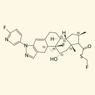 C[C@@H]1C[C@H]2[C@@H]3CCC4=Cc5c(cnn5-c5ccc(F)nc5)C[C@]4(C)[C@@]3(F)[C@@H](O)C[C@@]2(C)[C]1C(=O)SCF